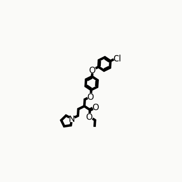 CCOC(=O)C(CCN1CCCC1)COc1ccc(Oc2ccc(Cl)cc2)cc1